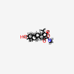 CC(C)C1=C2[C@H]3CC[C@@H]4[C@@]5(C)CC[C@H](O)C(C)(C)[C@@H]5CC[C@@]4(C)[C@]3(C)CC[C@@]2(C(=O)C(=O)N2CCC2)CC1=O